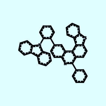 c1ccc(-c2nc3ccc(-c4ccccc4-n4c5ccccc5c5ccccc54)cc3c3c2ccc2sc4ccccc4c23)cc1